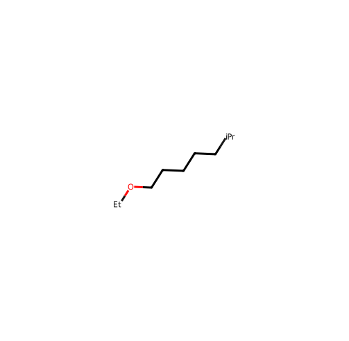 CCOCCCCCC(C)C